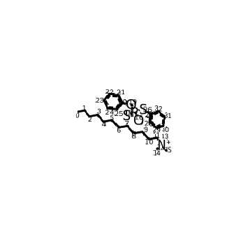 CCCCCCCCCCCC[N+](C)(C)C.[O-]P(=S)(Oc1ccccc1)Sc1ccccc1